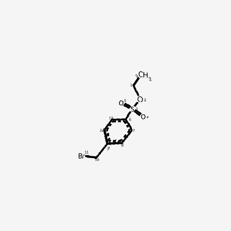 CCOS(=O)(=O)c1ccc(CBr)cc1